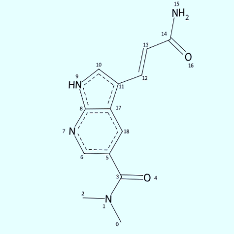 CN(C)C(=O)c1cnc2[nH]cc(C=CC(N)=O)c2c1